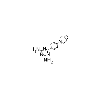 Nc1nc(N)nc(-c2ccc(N3CCOCC3)cc2)n1